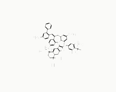 CC(C)(C)C1=CC2C/C(=C/c3ccc(C(C)(C)C)cc3-c3ccccc3)c3ccc(C(C)(C)C)cc3B3c4c(oc5c4C=C4C(C5)C(C)(C)CCC4(C)C)N(c4ccc(C(C)(C)I)c(C(C)(C)C)c4)C(=C1)C32